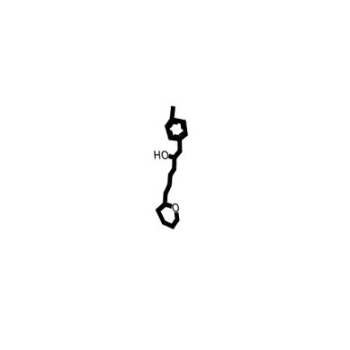 Cc1ccc(CC(O)CCCCC2CCCCO2)cc1